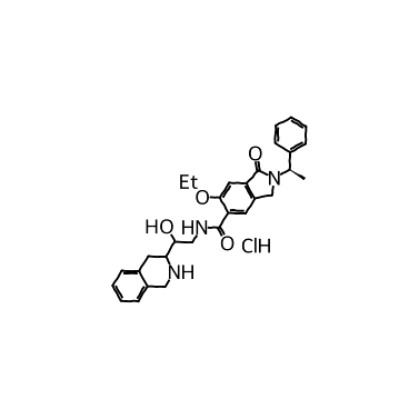 CCOc1cc2c(cc1C(=O)NCC(O)C1Cc3ccccc3CN1)CN([C@H](C)c1ccccc1)C2=O.Cl